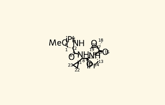 COC[C@H](NC(C)C)C(=O)N[C@H](C(=O)N[C@@H](CC(C)C)C(=O)[C@@]1(C)CO1)C1CC1